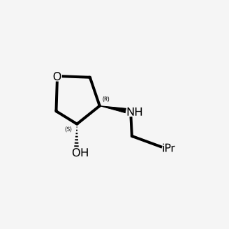 CC(C)CN[C@@H]1COC[C@H]1O